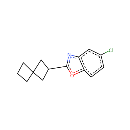 Clc1ccc2oc(C3CC4(CCC4)C3)nc2c1